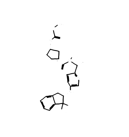 CN(C(=O)[C@@H]1CC[C@H](NC(=O)OC(C)(C)C)C1)[C@@H](c1ccc(N[C@H]2Cc3ccccc3C2(C)C)cn1)C(F)(F)F